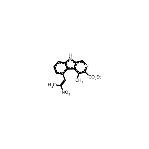 CCOC(=O)c1ncc2[nH]c3cccc(C=C(C)[N+](=O)[O-])c3c2c1C